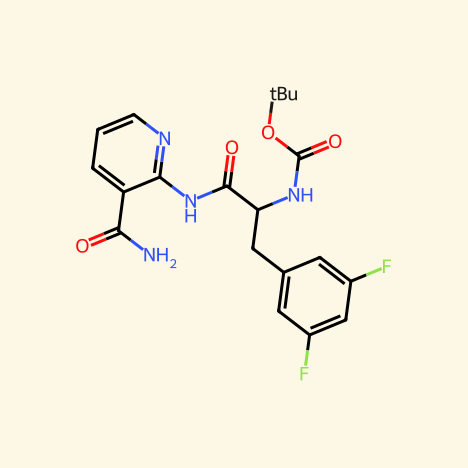 CC(C)(C)OC(=O)NC(Cc1cc(F)cc(F)c1)C(=O)Nc1ncccc1C(N)=O